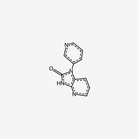 O=c1[nH]c2ncccc2n1-c1cccnc1